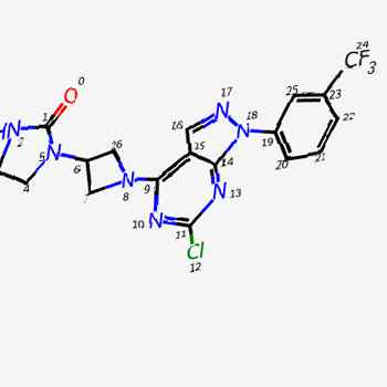 O=C1NCCN1C1CN(c2nc(Cl)nc3c2cnn3-c2cccc(C(F)(F)F)c2)C1